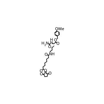 COc1ccc(COC(=O)[C@H](CCCCNC(=O)CCCCCCC(=O)ON2C(=O)CCC2=O)NC(N)=O)cc1